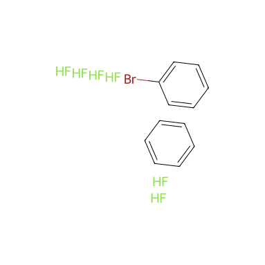 Brc1ccccc1.F.F.F.F.F.F.c1ccccc1